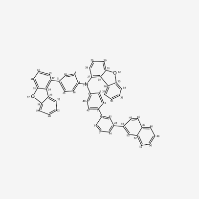 c1cc(-c2ccc(N(c3ccc(-c4cccc5oc6ccccc6c45)cc3)c3cccc4oc5ccccc5c34)cc2)cc(-c2ccc3ccccc3c2)c1